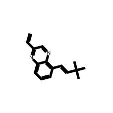 C=Cc1cnc2c(/C=C/C(C)(C)C)cccc2n1